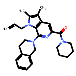 C=CCn1c(C)c(C)c2cc(C(=O)N3CCCCC3)nc(N3CCc4ccccc4C3)c21